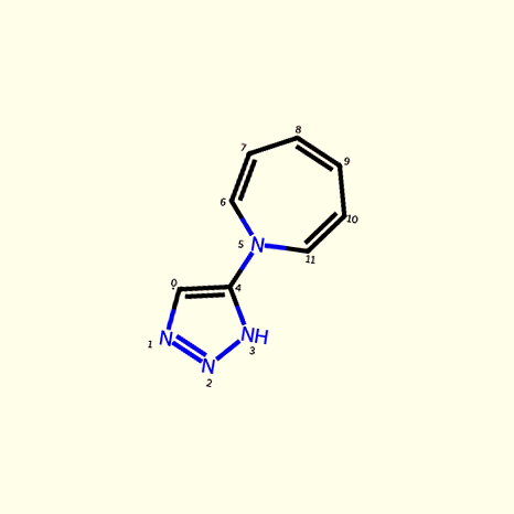 [c]1nn[nH]c1N1C=CC=CC=C1